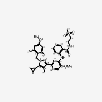 CCOc1cc(F)c(Cn2nc(-c3ncc(OC)c(Nc4ccncc4C(=O)NCCS(C)(=O)=O)n3)c(C)c2C2CC2)c(F)c1